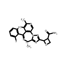 C[C@@H]1N=C(c2c(F)cccc2F)c2c(cnc(C(F)(F)F)c2Cl)-n2nc(C3OCC3C(N)=O)nc21